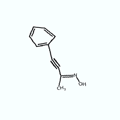 CC(C#Cc1ccccc1)=NO